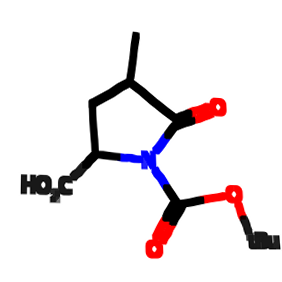 CC1CC(C(=O)O)N(C(=O)OC(C)(C)C)C1=O